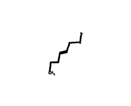 CCCC=CCS[S]